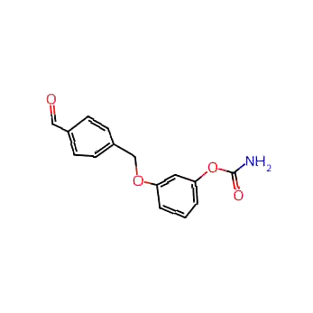 NC(=O)Oc1cccc(OCc2ccc(C=O)cc2)c1